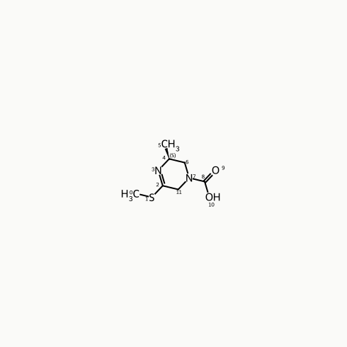 CSC1=N[C@@H](C)CN(C(=O)O)C1